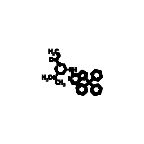 C=CC(=O)N1C[C@H](Nc2ncnc3c2ccn3C(c2ccccc2)(c2ccccc2)c2ccccc2)C[C@@H](N(C)C)C1